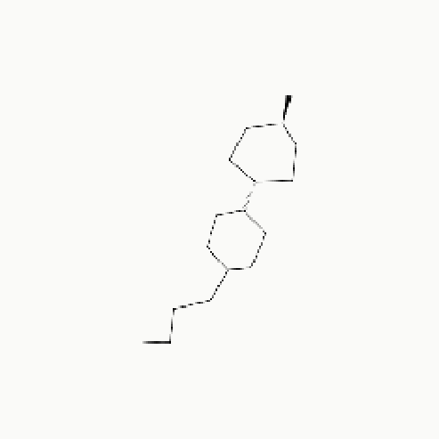 CCCCC1CCC([C@H]2CC[C@H](C)CC2)CC1